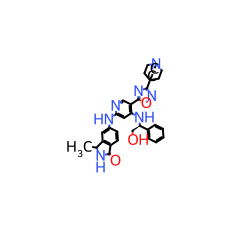 CC1NC(=O)c2ccc(Nc3cc(N[C@H](CO)c4ccccc4)c(-c4nc(C56CCN(CC5)CC6)no4)cn3)cc21